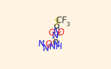 CN(C)CCN(C)CC(=O)Nc1cc(CN2C(=O)N(c3ccc(SC(F)(F)F)cc3)C(=O)C2(C)C)ccn1